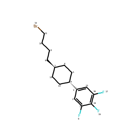 Fc1cc([C@H]2CC[C@H](CCCCBr)CC2)cc(F)c1F